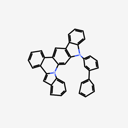 c1ccc(-c2cccc(-n3c4ccccc4c4cc5c6ccccc6c6cc7ccccc7n6c5cc43)c2)cc1